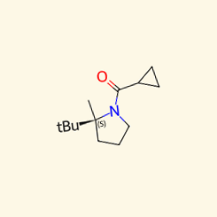 CC(C)(C)[C@]1(C)CCCN1C(=O)C1CC1